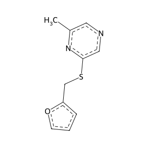 Cc1cncc(SCc2ccco2)n1